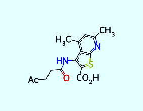 CC(=O)CCC(=O)Nc1c(C(=O)O)sc2nc(C)cc(C)c12